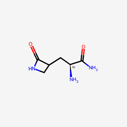 NC(=O)[C@@H](N)CC1CNC1=O